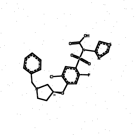 O=C(O)N(c1cscn1)S(=O)(=O)c1cc(Cl)c(O[C@H]2CCN(Cc3ccccc3)C2)cc1F